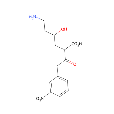 NCCC(O)CC(C(=O)O)C(=O)Cc1cccc([N+](=O)[O-])c1